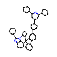 c1ccc(-c2cc(-c3ccc(-c4ccc5c(c4)C4(c6ccccc6-5)c5ccccc5-n5c(-c6ccccc6)nc6cccc4c65)cc3)cc(-c3ccccc3)n2)cc1